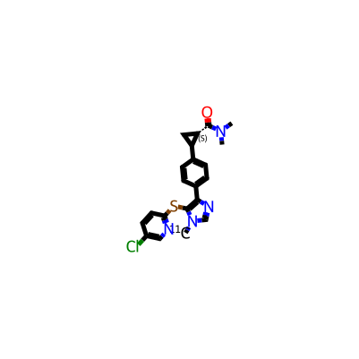 CN(C)C(=O)[C@H]1CC1c1ccc(-c2ncn([11CH3])c2Sc2ccc(Cl)cn2)cc1